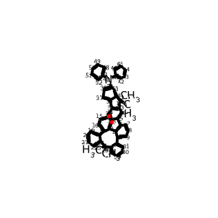 CC1(C)c2cc(-c3cccc4c3-c3ccccc3-c3ccccc3C(C)(C)c3ccccc3-4)ccc2-c2ccc(N(c3ccccc3)c3ccccc3)cc21